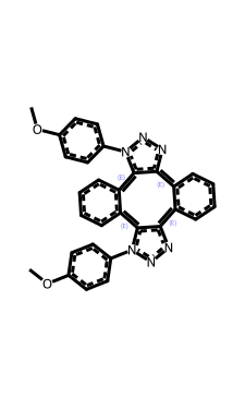 COc1ccc(-n2nnc3/c2=c2/cccc/c2=c2/c(nnn2-c2ccc(OC)cc2)=c2/cccc/c2=3)cc1